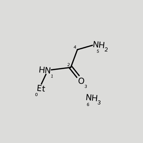 CCNC(=O)CN.N